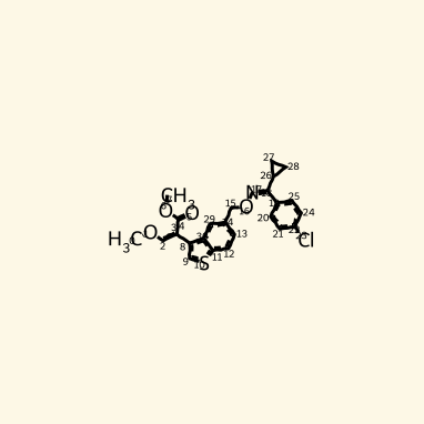 COC=C(C(=O)OC)c1csc2ccc(CON=C(c3ccc(Cl)cc3)C3CC3)cc12